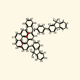 CC1(C)c2ccccc2-c2ccc(-c3ccc(N(c4ccc(-c5ccccc5-c5cccc6c5C(C)(C)c5ccccc5-6)cc4)c4ccccc4-c4ccc5c(ccc6ccccc65)c4)cc3)cc21